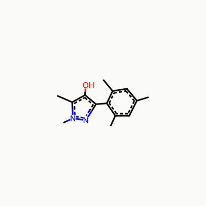 Cc1cc(C)c(-c2nn(C)c(C)c2O)c(C)c1